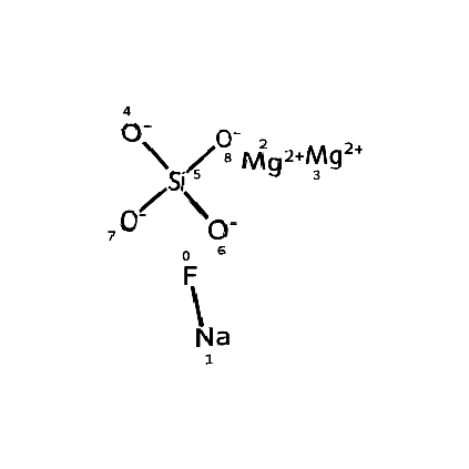 [F][Na].[Mg+2].[Mg+2].[O-][Si]([O-])([O-])[O-]